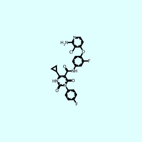 Nc1nccc(Oc2ccc(NC(=O)c3c(C4CC4)[nH]c(=O)n(-c4ccc(F)cc4)c3=O)cc2F)c1Cl